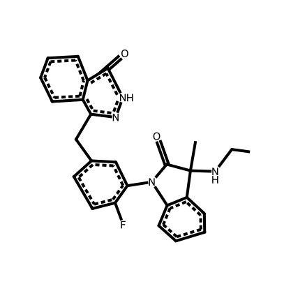 CCNC1(C)C(=O)N(c2cc(Cc3n[nH]c(=O)c4ccccc34)ccc2F)c2ccccc21